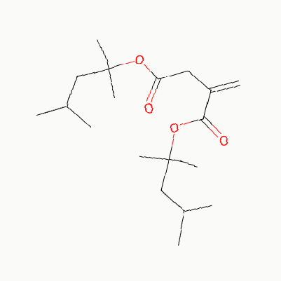 C=C(CC(=O)OC(C)(C)CC(C)C)C(=O)OC(C)(C)CC(C)C